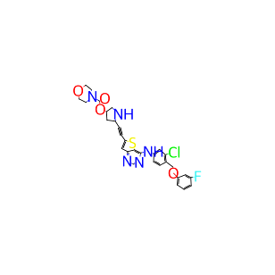 O=C(OC1CNC(C#Cc2cc3ncnc(Nc4ccc(COc5cccc(F)c5)c(Cl)c4)c3s2)C1)N1CCOCC1